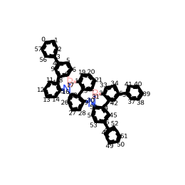 c1ccc(-c2ccc3c(c2)-c2ccccc2N2B3c3cccc4c3-c3c2cccc3N2B4c3ccc(-c4ccccc4)cc3-c3cc(-c4ccccc4)ccc32)cc1